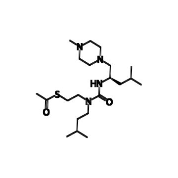 CC(=O)SCCN(CCC(C)C)C(=O)N[C@H](CC(C)C)CN1CCN(C)CC1